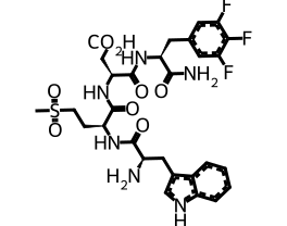 CS(=O)(=O)CC[C@H](NC(=O)[C@H](N)Cc1c[nH]c2ccccc12)C(=O)N[C@@H](CC(=O)O)C(=O)N[C@@H](Cc1cc(F)c(F)c(F)c1)C(N)=O